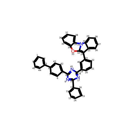 c1ccc(-c2ccc(-c3nc(-c4ccccc4)nc(-c4cccc(-c5c6ccccc6n6c5oc5ccccc56)c4)n3)cc2)cc1